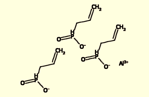 C=CC[PH](=O)[O-].C=CC[PH](=O)[O-].C=CC[PH](=O)[O-].[Al+3]